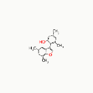 Cc1cc(C)c(-c2coc3c(C)cc(C)cc23)c(O)c1